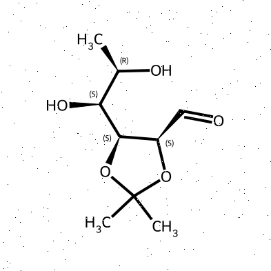 C[C@@H](O)[C@H](O)[C@@H]1OC(C)(C)O[C@@H]1C=O